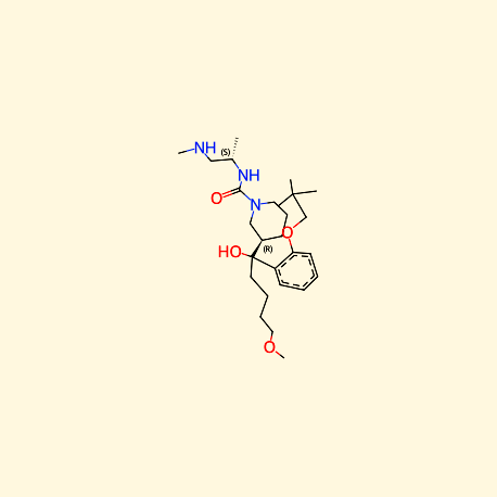 CNC[C@H](C)NC(=O)N1CCC[C@@H](C(O)(CCCCOC)c2ccccc2OCC(C)(C)C)C1